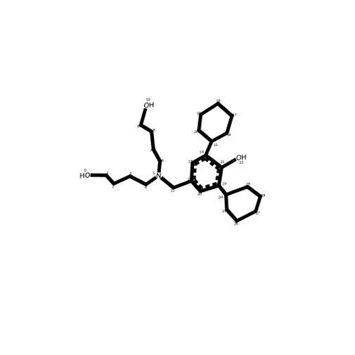 OCCCCN(CCCCO)Cc1cc(C2CCCCC2)c(O)c(C2CCCCC2)c1